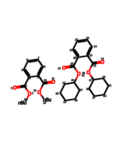 CCCCOC(=O)c1ccccc1C(=O)OCCCC.O=C(OC1CCCCC1)c1ccccc1C(=O)OC1CCCCC1